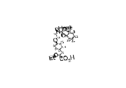 CCCCCCCN(CCOc1ccc(CC(OCC)C(=O)O)cc1)C(=O)Oc1ccccc1C(F)(F)F